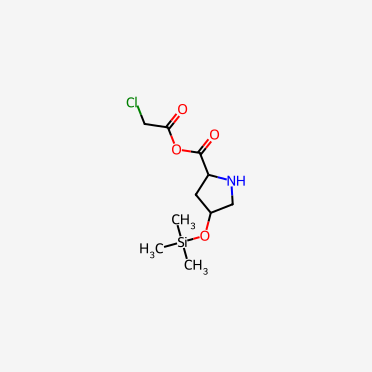 C[Si](C)(C)OC1CNC(C(=O)OC(=O)CCl)C1